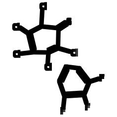 Fc1cccc(F)c1F.S=C1C(Cl)=C(Cl)C(Cl)=C(Cl)C1Cl